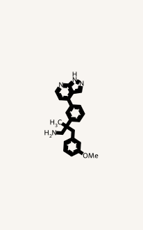 COc1cccc(CC(C)(CN)c2cccc(-c3ccnc4[nH]ncc34)c2)c1